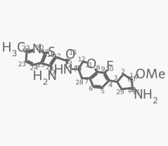 CO[C@H]1CC(c2ccc3c(c2F)OC[C@H](NC(=O)c2sc4nc(C)ccc4c2N)C3)C[C@@H]1N